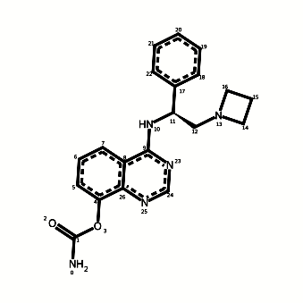 NC(=O)Oc1cccc2c(N[C@H](CN3CCC3)c3ccccc3)ncnc12